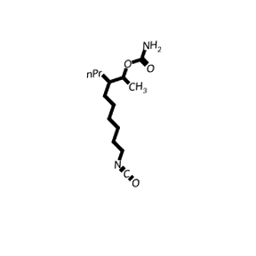 CCCC(CCCCCCN=C=O)C(C)OC(N)=O